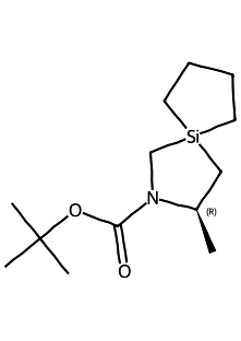 C[C@@H]1C[Si]2(CCCC2)CN1C(=O)OC(C)(C)C